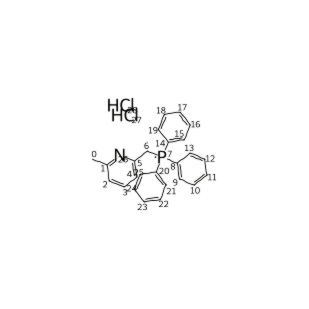 Cc1cccc(C[P](c2ccccc2)(c2ccccc2)c2ccccc2)n1.Cl.Cl